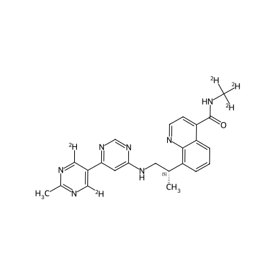 [2H]c1nc(C)nc([2H])c1-c1cc(NC[C@@H](C)c2cccc3c(C(=O)NC([2H])([2H])[2H])ccnc23)ncn1